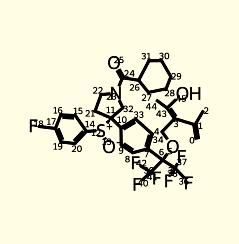 C=C(C)/C(COC(c1ccc([C@]2([S+]([O-])c3ccc(F)cc3)CCN(C(=O)C3CCCCC3)C2)cc1)(C(F)(F)F)C(F)(F)F)=C(/C)O